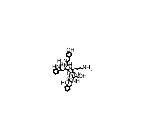 C[C@@H](O)[C@H](NC(=O)[C@H](CCCCN)NC(=O)[C@@H](Cc1c[nH]c2ccccc12)NC(=O)[C@@H](N)Cc1ccc(O)cc1)C(=O)N[C@@H](Cc1ccccc1)C(=O)O